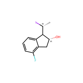 C[C@@H](I)C1c2cccc(F)c2C[C@H]1O